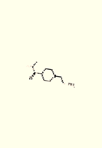 CC(C)C(=O)C1CCN(CCN)CC1